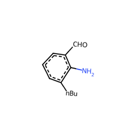 CCCCc1cccc(C=O)c1N